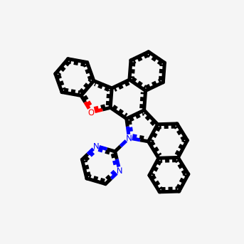 c1cnc(-n2c3c4ccccc4ccc3c3c4ccccc4c4c5ccccc5oc4c32)nc1